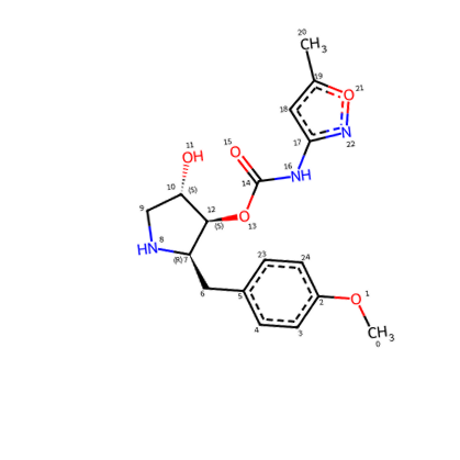 COc1ccc(C[C@H]2NC[C@H](O)[C@H]2OC(=O)Nc2cc(C)on2)cc1